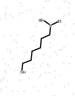 CCN(CCCCCCO)C(C)(C)C